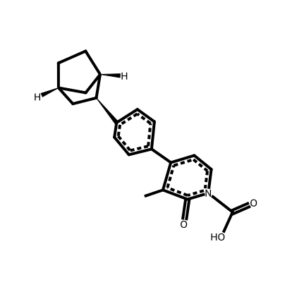 Cc1c(-c2ccc([C@H]3C[C@@H]4CC[C@H]3C4)cc2)ccn(C(=O)O)c1=O